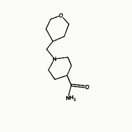 NC(=O)C1CCN(CC2CCOCC2)CC1